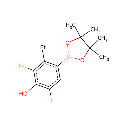 CCc1c(B2OC(C)(C)C(C)(C)O2)cc(F)c(O)c1F